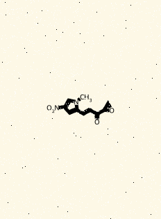 Cn1cc([N+](=O)[O-])cc1/C=C/C(=O)C1CO1